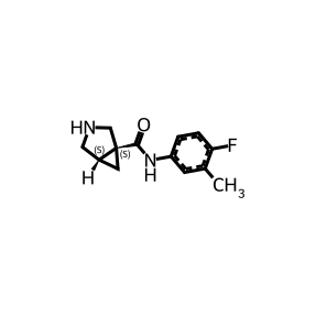 Cc1cc(NC(=O)[C@]23CNC[C@H]2C3)ccc1F